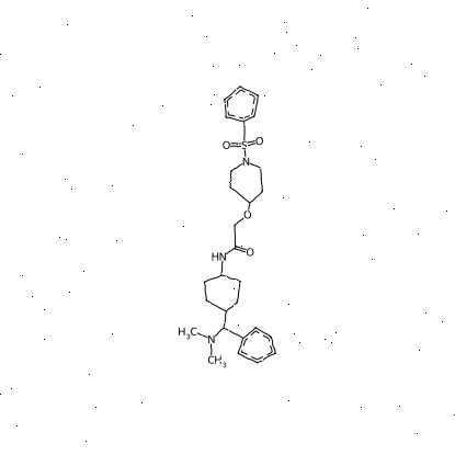 CN(C)C(c1ccccc1)C1CCC(NC(=O)COC2CCN(S(=O)(=O)c3ccccc3)CC2)CC1